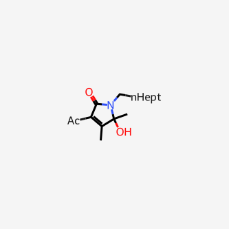 CCCCCCCCN1C(=O)C(C(C)=O)=C(C)C1(C)O